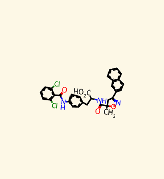 CC1(C(=O)NC(Cc2ccc(NC(=O)c3c(Cl)cccc3Cl)cc2)C(=O)O)CC(c2ccc3ccccc3c2)=NO1